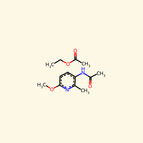 CCOC(C)=O.COc1ccc(NC(C)=O)c(C)n1